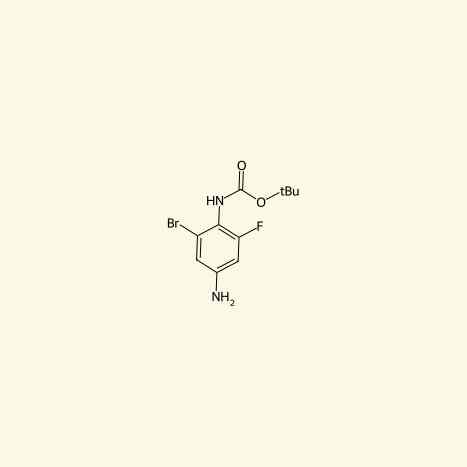 CC(C)(C)OC(=O)Nc1c(F)cc(N)cc1Br